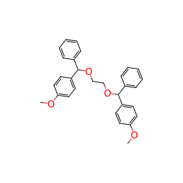 COc1ccc(C(OCCOC(c2ccccc2)c2ccc(OC)cc2)c2ccccc2)cc1